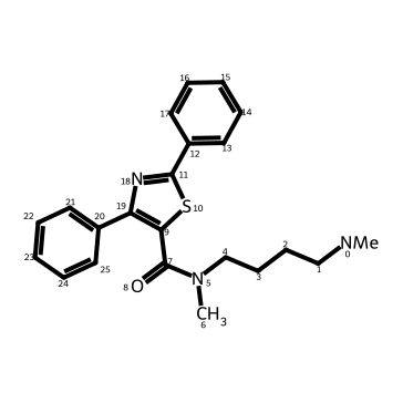 CNCCCCN(C)C(=O)c1sc(-c2ccccc2)nc1-c1ccccc1